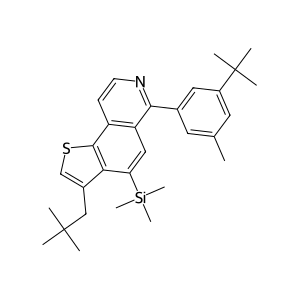 Cc1cc(-c2nccc3c2cc([Si](C)(C)C)c2c(CC(C)(C)C)csc23)cc(C(C)(C)C)c1